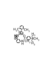 Cc1cccc(C)c1-c1cc2nc(n1)NS(=O)(=O)c1cccc(c1)N[C@@H](C)[C@H](c1ccc(C(C)(C)C)cc1)O2